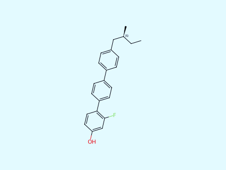 CC[C@H](C)Cc1ccc(-c2ccc(-c3ccc(O)cc3F)cc2)cc1